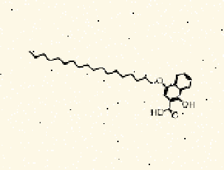 CCCCCCCCCCCCCCCCCCOc1cc(C(=O)O)c(O)c2ccccc12